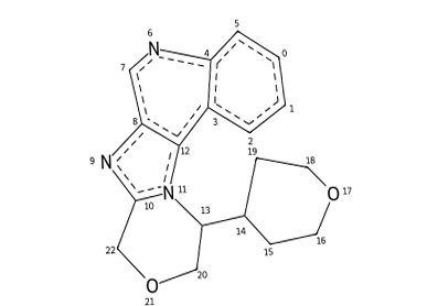 c1ccc2c(c1)ncc1nc3n(c12)C(C1CCOCC1)COC3